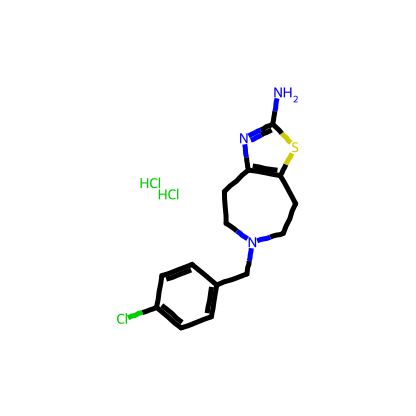 Cl.Cl.Nc1nc2c(s1)CCN(Cc1ccc(Cl)cc1)CC2